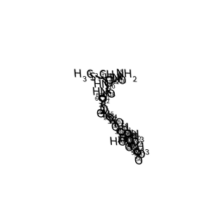 CSCC[C@H](C)C(=O)N[C@@H](CCCNC(N)=O)C(=O)Nc1ccc(COC(=O)N2CCN(C(=O)O[C@H]3CC[C@@]4(C)[C@H](CC[C@@H]5[C@@H]4[C@H](O)C(=O)[C@]4(C)[C@@H](c6ccc(=O)oc6)CC[C@]54O)C3)CC2)cc1